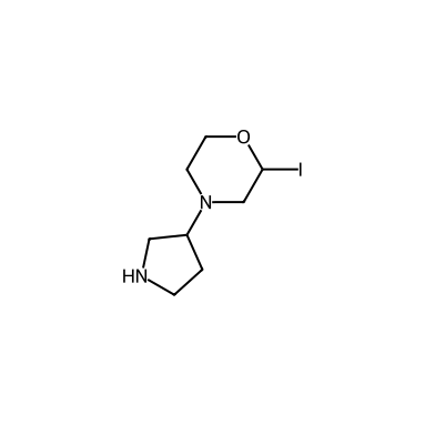 IC1CN(C2CCNC2)CCO1